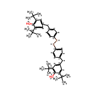 CC(C)(C)c1cc(Cc2ccc(SSc3ccc(Cc4cc(C(C)(C)C)c(O)c(C(C)(C)C)c4)cc3)cc2)cc(C(C)(C)C)c1O